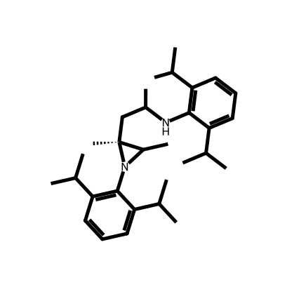 CC(C[C@@]1(C)C(C)N1c1c(C(C)C)cccc1C(C)C)Nc1c(C(C)C)cccc1C(C)C